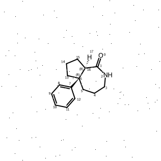 O=C1NCCC[C@]2(c3ccccc3)CCC[C@@H]12